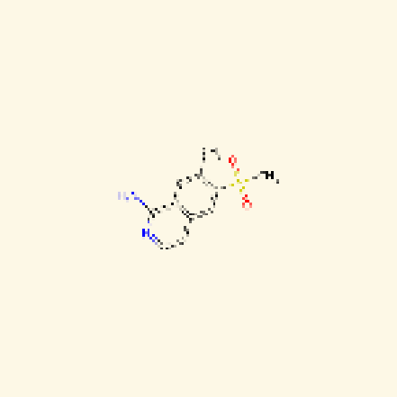 Cc1cc2c(N)nccc2cc1S(C)(=O)=O